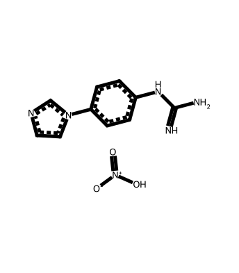 N=C(N)Nc1ccc(-n2ccnc2)cc1.O=[N+]([O-])O